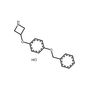 Cl.c1ccc(COc2ccc(OC3CNC3)cc2)cc1